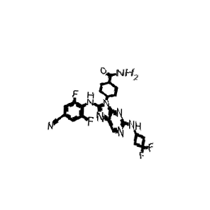 N#Cc1cc(F)c(Nc2nc3cnc(NC4CC(F)(F)C4)nc3n2C2CCC(C(N)=O)CC2)c(F)c1